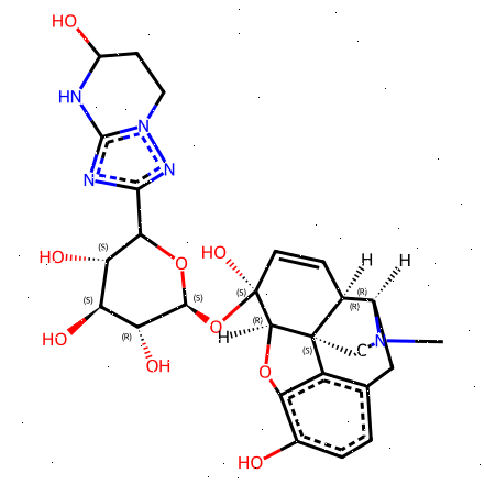 CN1CC[C@]23c4c5ccc(O)c4O[C@H]2[C@@](O)(O[C@@H]2OC(c4nc6n(n4)CCC(O)N6)[C@@H](O)[C@H](O)[C@H]2O)C=C[C@H]3[C@H]1C5